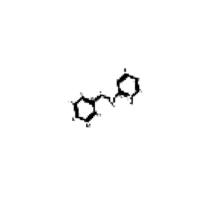 [c]1cccnc1OCc1ccccc1